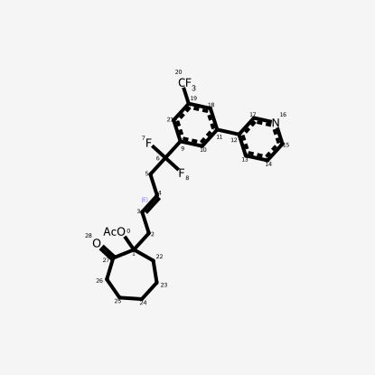 CC(=O)OC1(C/C=C/CC(F)(F)c2cc(-c3cccnc3)cc(C(F)(F)F)c2)CCCCCC1=O